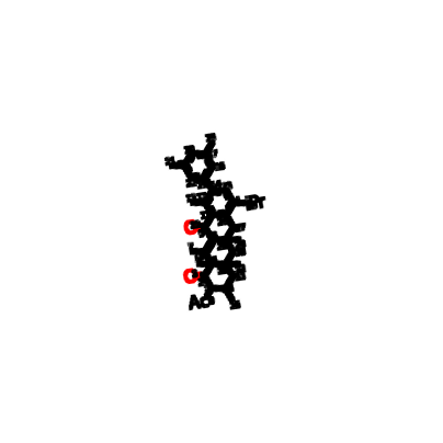 CC(=O)C1C(=O)C2(C)C(C)=C3C(=O)c4c(C)c(-c5cc(C)cc(C)c5)cc(C(C)C)c4CC3(C)CC2(C)CC1C